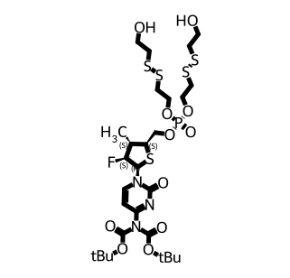 C[C@H]1[C@H](F)[C@H](n2ccc(N(C(=O)OC(C)(C)C)C(=O)OC(C)(C)C)nc2=O)S[C@@H]1COP(=O)(OCCSSCCO)OCCSSCCO